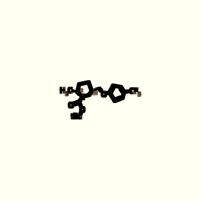 C[C@@H]1CC[C@H](COc2ccc(C(F)(F)F)cc2)CN1C(=O)OC(C)(C)C